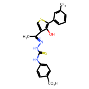 C/C(=N\NC(=S)Nc1ccc(C(=O)O)cc1)c1csc(-c2cccc(C(F)(F)F)c2)c1O